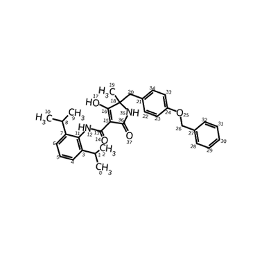 CC(C)c1cccc(C(C)C)c1NC(=O)C1=C(O)C(C)(Cc2ccc(OCc3ccccc3)cc2)NC1=O